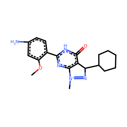 COc1cc(N)ccc1-c1nc2c(c(=O)[nH]1)C(C1CCCCC1)N=[N+]2C